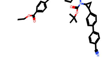 CCOC(=O)c1ccc(CCCN2CCC(CN(C(=O)OC(C)(C)C)C3CC3c3ccc(-c4ccc(C#N)cc4)cc3)CC2)cc1